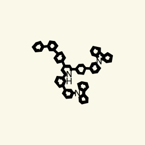 C1=CC(c2cccc(-n3c4ccccc4c4ccccc43)c2)CC=C1C1C=C(c2ccc(-c3cccc(-c4ccccc4)c3)cc2)C=C(c2cccc(-c3cccc(-n4c5ccccc5c5ccccc54)c3)c2)N1